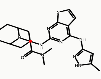 Cc1cc(Nc2nc(NC3CC4CCCC(C3)N4CC(=O)N(C)C)nc3sccc23)n[nH]1